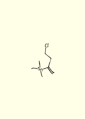 C=[C](CCCl)[Sn]([CH3])([CH3])[CH3]